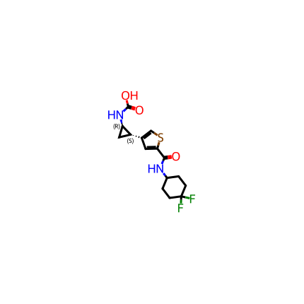 O=C(O)N[C@@H]1C[C@H]1c1csc(C(=O)NC2CCC(F)(F)CC2)c1